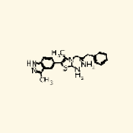 CC1=C(c2ccc3[nH]nc(C)c3c2)SC(N)N1C[C@H](N)Cc1ccccc1